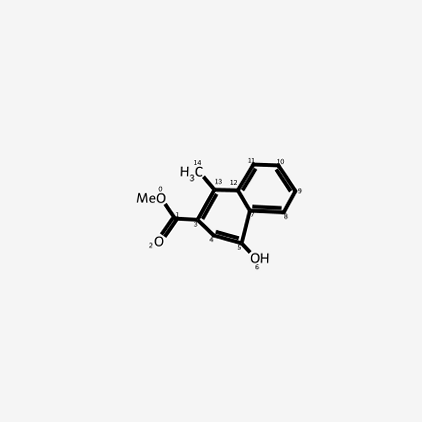 COC(=O)c1cc(O)c2ccccc2c1C